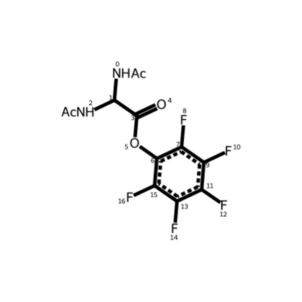 CC(=O)NC(NC(C)=O)C(=O)Oc1c(F)c(F)c(F)c(F)c1F